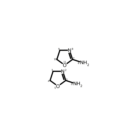 NC1=NCCO1.NC1=NCCO1